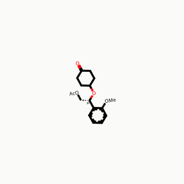 COc1ccccc1[C@H](COC(C)=O)OC1CCC(=O)CC1